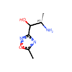 Cc1nc(C(O)[C@H](C)N)no1